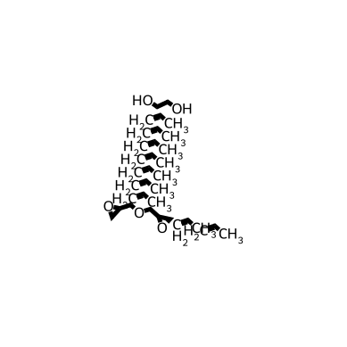 C(OCC1CO1)C1CO1.C=CC.C=CC.C=CC.C=CC.C=CC.C=CC.C=CC.C=CC.C=CC.OCCO